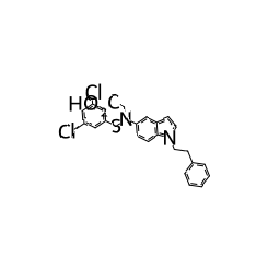 O=C(O)CN(Sc1cc(Cl)cc(Cl)c1)c1ccc2c(ccn2CCc2ccccc2)c1